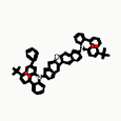 CC(C)(C)c1ccc(-c2ccccc2N(c2cccc(-c3ccccc3)c2)c2ccc3cc4c(cc3c2)oc2cc3cc(N(c5ccc(C(C)(C)C)cc5)c5ccccc5-c5ccccc5)ccc3cc24)cc1